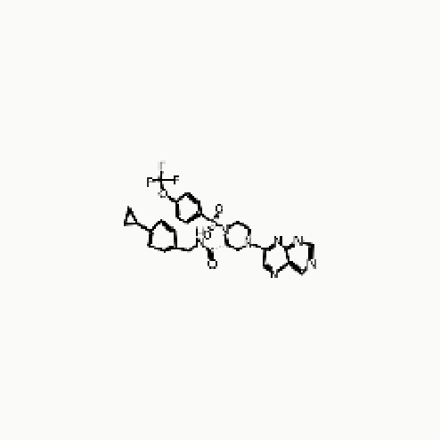 O=C(NCc1ccc(C2CC2)cc1)[C@H]1CN(c2cnc3cncnc3n2)CCN1S(=O)(=O)c1ccc(OC(F)(F)F)cc1